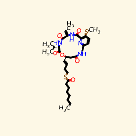 C/C=C1\NC(=O)c2nc(ccc2SC)CNC(=O)C[C@@H](/C=C/CCSC(=O)CCCCCCC)OC(=O)[C@H](C(C)C)NC1=O